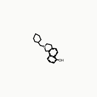 Oc1cccc2c3c(ccc12)CCN(CC1CCCCC1)C3